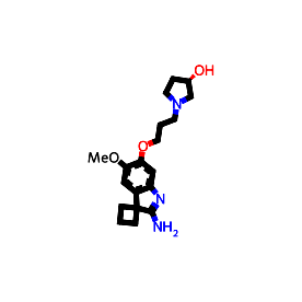 COc1cc2c(cc1OCCCN1CC[C@@H](O)C1)N=C(N)C21CCC1